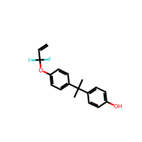 C=CC(F)(F)Oc1ccc(C(C)(C)c2ccc(O)cc2)cc1